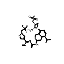 C=N/C(=N\C(=C)Nc1cc2c(C(C)C)ccc(N3C[C@H](CS(C)(=O)=O)[C@H]3N)c2cn1)c1cnn(CC(F)(F)F)c1